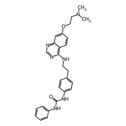 CN(C)CCOc1ccc2c(NCCc3ccc(NC(=O)Nc4ccccc4)cc3)ncnc2c1